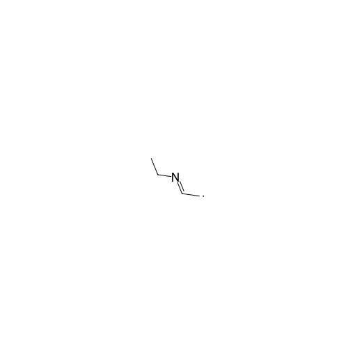 [CH2]/C=N/CC